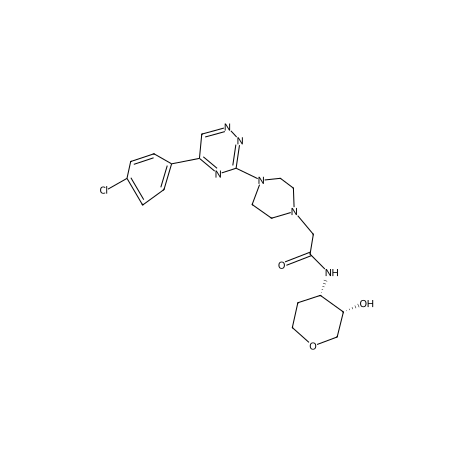 O=C(CN1CCN(c2nncc(-c3ccc(Cl)cc3)n2)CC1)N[C@H]1CCOC[C@H]1O